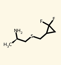 C[C@@H](N)CSCC1CC1(F)F